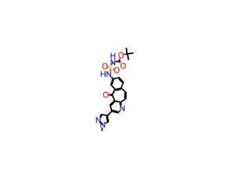 Cn1cc(-c2cnc3ccc4ccc(NS(=O)(=O)NC(=O)OC(C)(C)C)cc4c(=O)c3c2)cn1